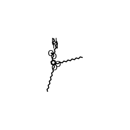 CCCCCCCCCCCCOc1ccc(COC(=O)CCCN2CCN(C)CC2)cc1OCCCCCCCCCCCC